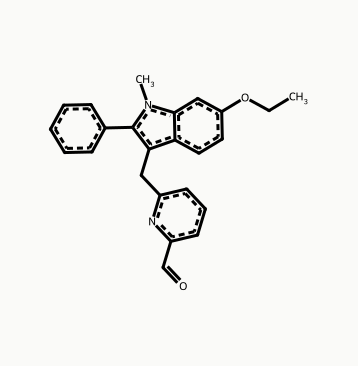 CCOc1ccc2c(Cc3cccc(C=O)n3)c(-c3ccccc3)n(C)c2c1